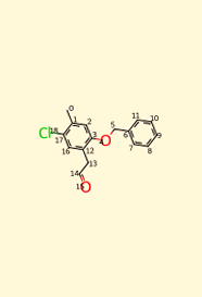 Cc1cc(OCc2ccccc2)c(CC=O)cc1Cl